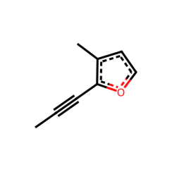 CC#Cc1occc1C